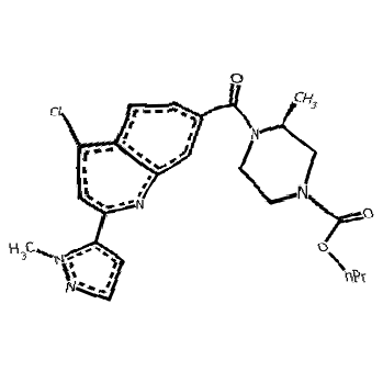 CCCOC(=O)N1CCN(C(=O)c2ccc3c(Cl)cc(-c4ccnn4C)nc3c2)[C@@H](C)C1